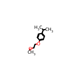 COCCOc1ccc(C(C)C)cc1